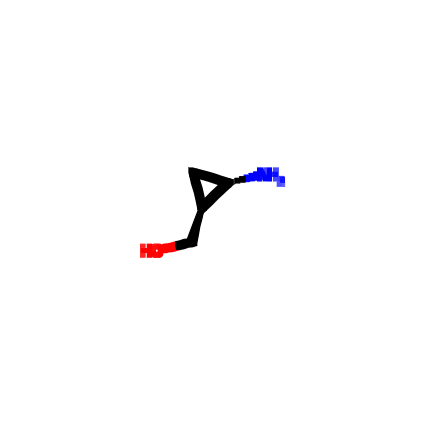 N[C@H]1C[C@@H]1CO